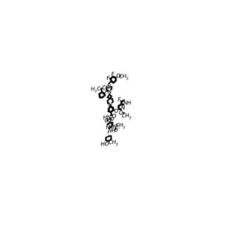 CCOc1nc2[nH]cc(F)c2cc1Oc1cc(N2CCC3(CC2)CC(N2CCN(Cc4ccc(OC)c(F)c4F)C[C@H]2c2ccccc2C(C)C)C3)ccc1C(=O)NS(=O)(=O)c1cnc(NC[C@H]2CC[C@](C)(O)CC2)c([NH+](C)[O-])c1